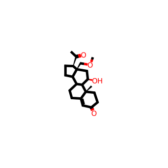 COC[C@@]12C[C@@H](O)C3C(CCC4=CC(=O)CC[C@]43C)C1CC[C@H]2C(C)=O